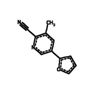 Cc1cc(-c2ccco2)cnc1C#N